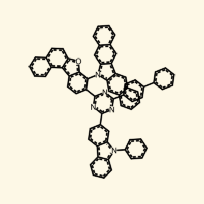 c1ccc(-c2ccc(-c3nc(-c4ccc5c6ccccc6n(-c6ccccc6)c5c4)nc(-c4ccc5c(oc6ccc7ccccc7c65)c4-n4c5cc6ccccc6cc5c5cc6ccccc6cc54)n3)cc2)cc1